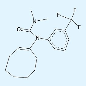 CN(C)C(=O)N(C1=CCCCCCC1)c1cccc(C(F)(F)F)c1